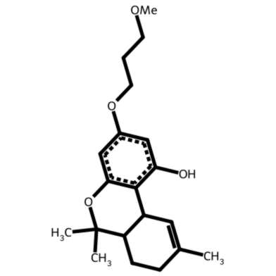 COCCCOc1cc(O)c2c(c1)OC(C)(C)C1CCC(C)=CC21